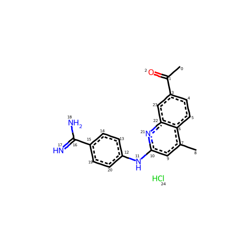 CC(=O)c1ccc2c(C)cc(Nc3ccc(C(=N)N)cc3)nc2c1.Cl